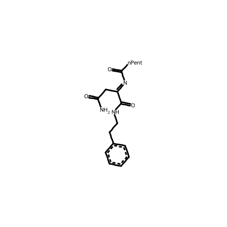 CCCCCC(=O)/N=C(\CC(N)=O)C(=O)NCCc1ccccc1